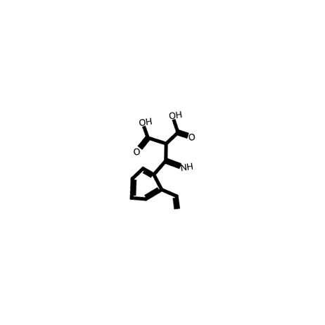 C=Cc1ccccc1C(=N)C(C(=O)O)C(=O)O